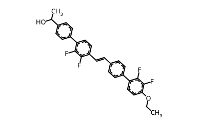 CCOc1ccc(-c2ccc(/C=C/c3ccc(-c4ccc(C(C)O)cc4)c(F)c3F)cc2)c(F)c1F